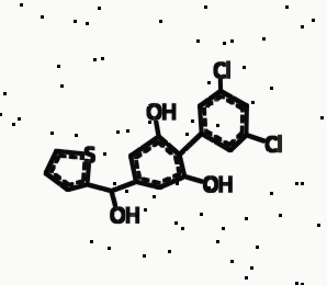 Oc1cc(C(O)c2cccs2)cc(O)c1-c1cc(Cl)cc(Cl)c1